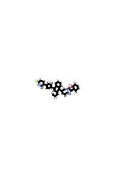 Fc1ccc(-c2ccc(-c3c4ccccc4c(-c4ccc5nc6c7ccccc7oc6n5c4)c4ccccc34)cc2)c(F)n1